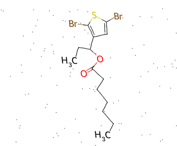 CCCCCCC(=O)OC(CC)c1cc(Br)sc1Br